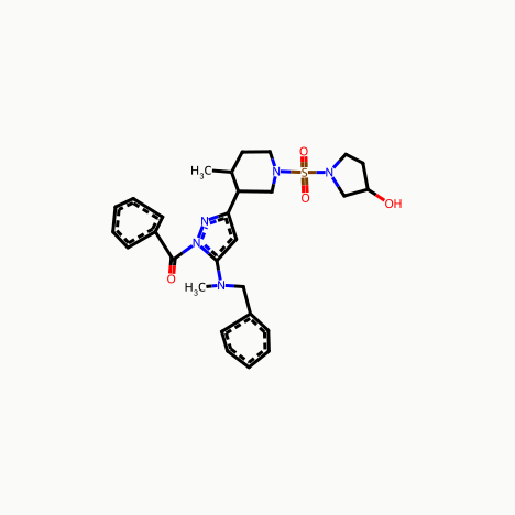 CC1CCN(S(=O)(=O)N2CCC(O)C2)CC1c1cc(N(C)Cc2ccccc2)n(C(=O)c2ccccc2)n1